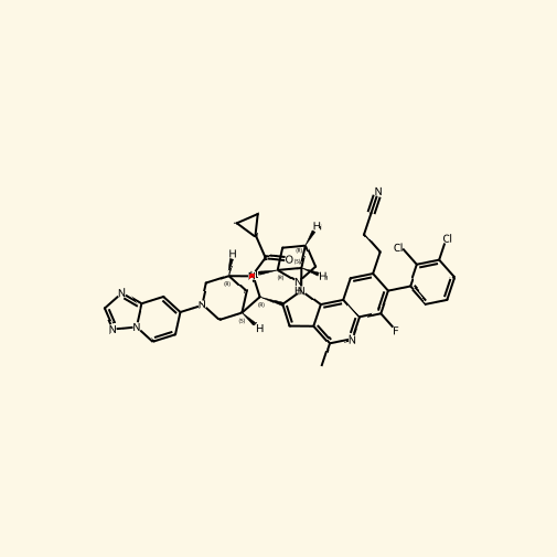 Cc1nc2c(F)c(-c3cccc(Cl)c3Cl)c(CCC#N)cc2c2c1cc([C@H]1[C@H]3C[C@H](CN(c4ccn5ncnc5c4)C3)N1C(=O)C1CC1)n2[C@H]1[C@H]2CN[C@@H]1C2